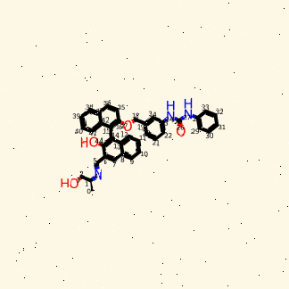 C[C@@H](CO)/N=C/c1cc2ccccc2c(-c2c(OCc3cccc(NC(=O)Nc4ccccc4)c3)ccc3ccccc23)c1O